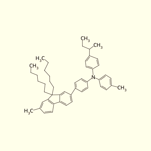 CCCCCCC1(CCCCCC)c2cc(C)ccc2-c2ccc(-c3ccc(N(c4ccc(C)cc4)c4ccc(C(C)CC)cc4)cc3)cc21